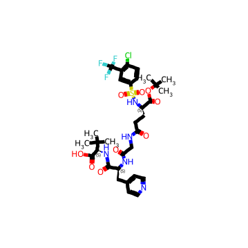 CC(C)(C)OC(=O)[C@H](CCC(=O)NCC(=O)N[C@@H](Cc1ccncc1)C(=O)N[C@H](C(=O)O)C(C)(C)C)NS(=O)(=O)c1ccc(Cl)c(C(F)(F)F)c1